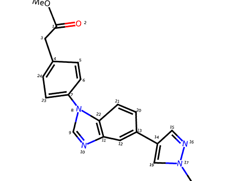 COC(=O)Cc1ccc(-n2cnc3cc(-c4cnn(C)c4)ccc32)cc1